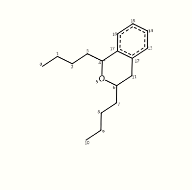 CCCC[C]1OC(CCCC)Cc2ccccc21